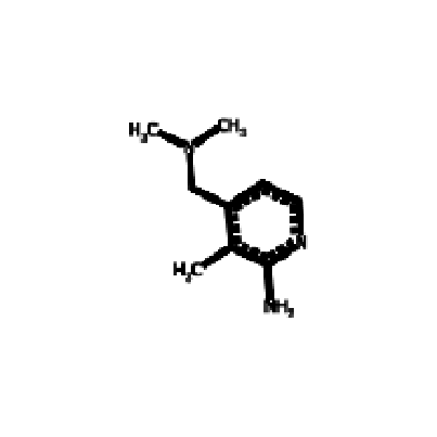 Cc1c(CN(C)C)ccnc1N